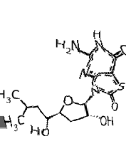 CC(C)CC(O)[C@@H]1C[C@@H](O)[C@H](n2c(=O)sc3c(=O)[nH]c(N)nc32)O1